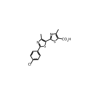 Cc1nc(-c2sc(-c3ccc(Cl)cc3)nc2C)sc1C(=O)O